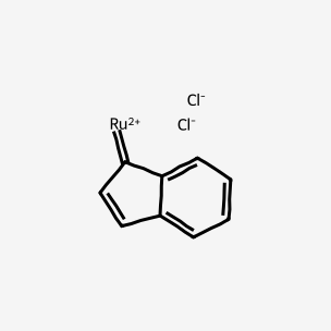 [Cl-].[Cl-].[Ru+2]=[C]1C=Cc2ccccc21